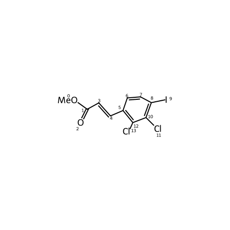 COC(=O)C=Cc1ccc(I)c(Cl)c1Cl